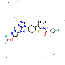 Cn1nc(OC(F)F)cc1Nc1nncn1[C@H]1CCc2sc(NC(=O)[C@H]3C[C@H](F)C3)c(C(=O)O)c2C1